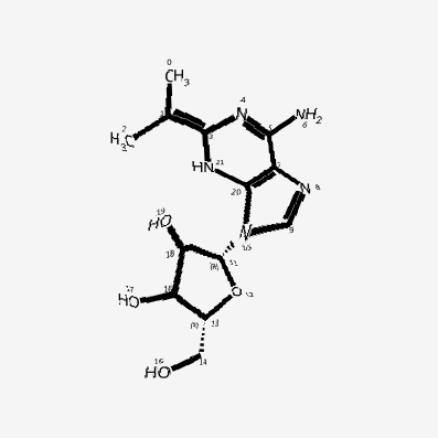 CC(C)=C1N=C(N)c2ncn([C@@H]3O[C@H](CO)C(O)C3O)c2N1